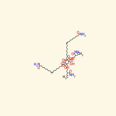 CCC(CCCCC1(C(=O)O)CC(CCCCC(CC)C(N)=O)(C(=O)O)C(CCCCCCCC/C=C\CCCCCCCC(N)=O)(C(=O)O)CC1(CCCCCCCC/C=C\CCCCCCCC(N)=O)C(=O)O)C(N)=O